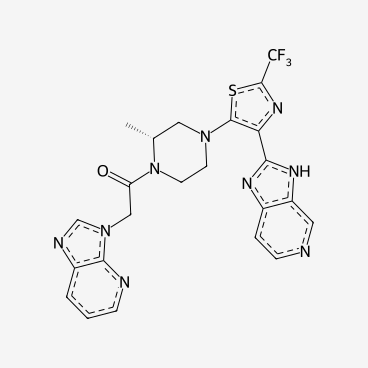 C[C@@H]1CN(c2sc(C(F)(F)F)nc2-c2nc3ccncc3[nH]2)CCN1C(=O)Cn1cnc2cccnc21